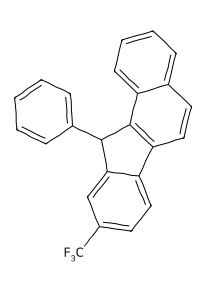 FC(F)(F)c1ccc2c(c1)C(c1ccccc1)c1c-2ccc2ccccc12